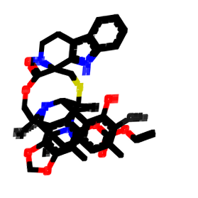 C=COC(=O)Oc1c(C)c2c(c3c1[C@H]1SC[C@]4(NCCc5c4[nH]c4ccccc54)C(=O)OC[C@@H]3N3C1[C@@H]1c4c(cc(C)c(OC)c4O)C[C@H]([C@@H]3C#N)N1C)OCO2